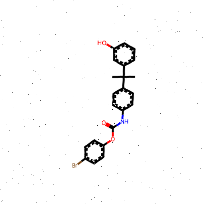 CC(C)(c1ccc(NC(=O)Oc2ccc(Br)cc2)cc1)c1cccc(O)c1